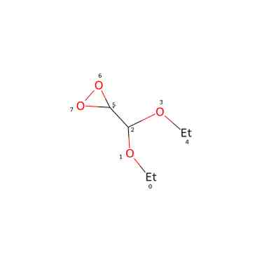 CCOC(OCC)[C]1OO1